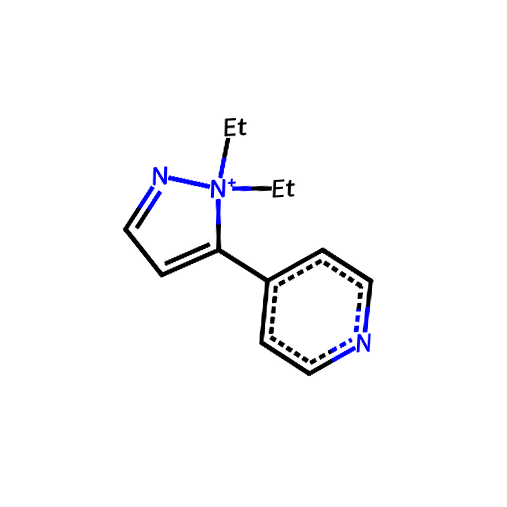 CC[N+]1(CC)N=CC=C1c1ccncc1